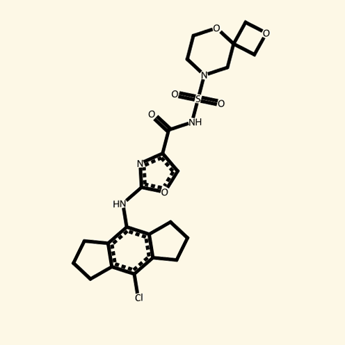 O=C(NS(=O)(=O)N1CCOC2(COC2)C1)c1coc(Nc2c3c(c(Cl)c4c2CCC4)CCC3)n1